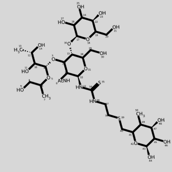 CC(=O)NC1C(O[C@H](OC(C)CO)C(O)[C@H](C)O)[C@H](O[C@@H]2OC(CO)[C@H](O)C(O)C2O)C(CO)O[C@H]1NC(=S)NCCSCC1O[C@H](O)C(O)[C@H](O)C1C